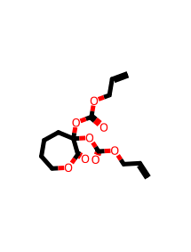 C=CCOC(=O)OC1(OC(=O)OCC=C)CCCCOC1=O